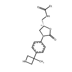 CCC(=O)NC[C@H]1CN(c2ccc(C3(C)CNC3)cc2)C(=O)O1